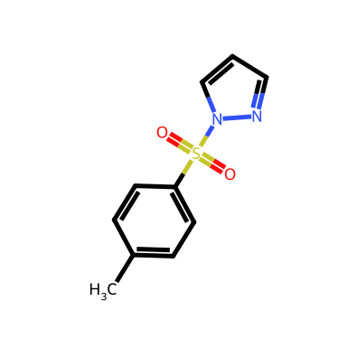 Cc1ccc(S(=O)(=O)n2cccn2)cc1